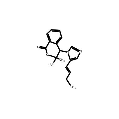 CCC=Cc1cncn1C1c2ccccc2C(=O)OC1(C)C